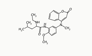 CCNC(CC(C)C)C(=O)Nc1cc(N(C)c2cc(=O)oc3ccccc23)ccc1OC